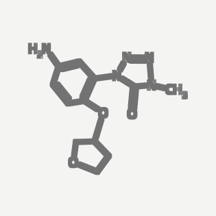 Cn1nnn(-c2cc(N)ccc2OC2CCOC2)c1=O